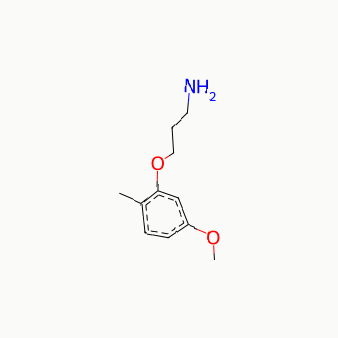 COc1ccc(C)c(OCCCN)c1